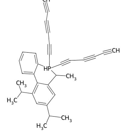 C#CC#CC#C[PH]1(C#CC#CC#C)c2ccccc2-c2c(C(C)C)cc(C(C)C)cc2C1C